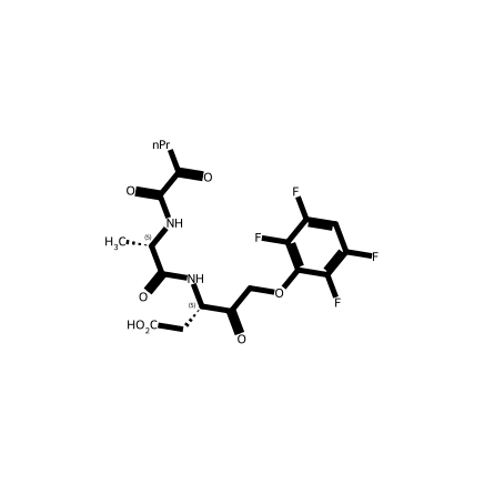 CCCC(=O)C(=O)N[C@@H](C)C(=O)N[C@@H](CC(=O)O)C(=O)COc1c(F)c(F)cc(F)c1F